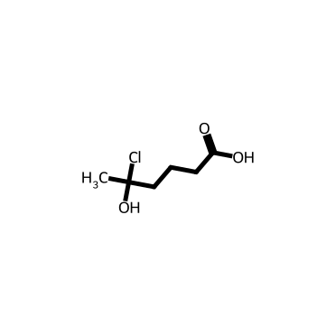 CC(O)(Cl)CCCC(=O)O